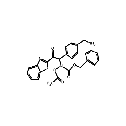 NCc1ccc(C(C(=O)c2nc3ccccc3s2)N(OC(=O)C(F)(F)F)C(=O)OCc2ccccc2)cc1